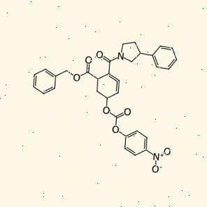 O=C(Oc1ccc([N+](=O)[O-])cc1)OC1C=C=C(C(=O)N2CCC(c3ccccc3)C2)C(C(=O)OCc2ccccc2)C1